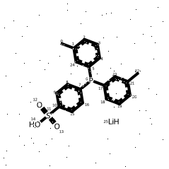 Cc1cccc(P(c2ccc(S(=O)(=O)O)cc2)c2cccc(C)c2)c1.[LiH]